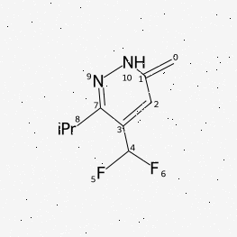 C=C1C=C(C(F)F)C(C(C)C)=NN1